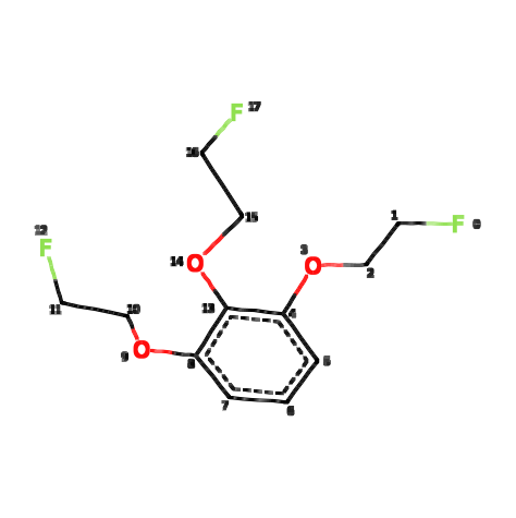 FCCOc1cccc(OCCF)c1OCCF